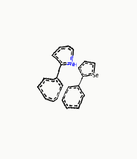 c1ccc(-c2ccc[nH]2)cc1.c1ccc(-c2ccc[se]2)cc1